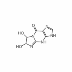 O=C1c2nc[nH]c2NC2=NC(O)C(O)N12